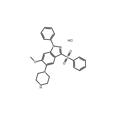 COc1cc2c(cc1N1CCNCC1)c(S(=O)(=O)c1ccccc1)nn2-c1ccccc1.Cl